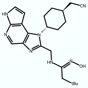 CC(C)(C)CC(=NO)NCc1nc2cnc3[nH]ccc3c2n1[C@H]1CC[C@H](CC#N)CC1